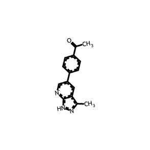 CC(=O)c1ccc(-c2cnc3[nH]nc(C)c3c2)cc1